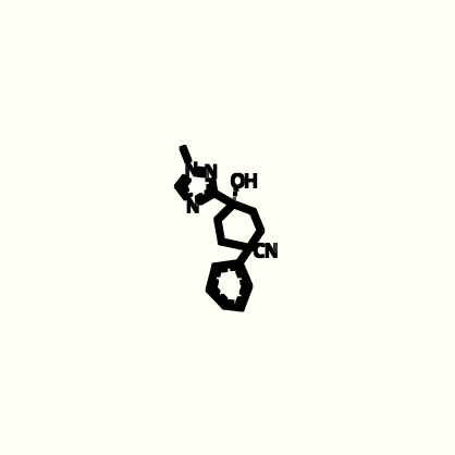 Cn1cnc([C@]2(O)CC[C@](C#N)(c3ccccc3)CC2)n1